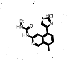 CCNC(=O)Nc1cc2c(-c3cscn3)ccc(C)c2cn1.Cl